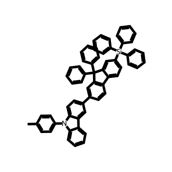 Cc1ccc(-n2c3ccccc3c3cc(-c4ccc5c(c4)C(c4ccccc4)(c4ccccc4)c4cc([Si](c6ccccc6)(c6ccccc6)c6ccccc6)ccc4-5)ccc32)cc1